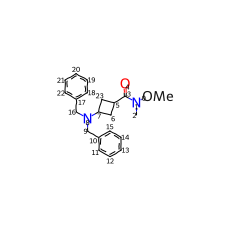 CON(C)C(=O)C1CC(N(Cc2ccccc2)Cc2ccccc2)C1